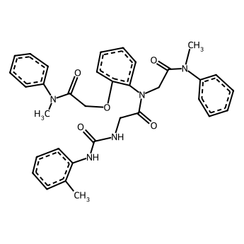 Cc1ccccc1NC(=O)NCC(=O)N(CC(=O)N(C)c1ccccc1)c1ccccc1OCC(=O)N(C)c1ccccc1